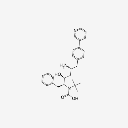 CC(C)(C)N(C(=O)O)[C@@H](Cc1ccccc1)[C@@H](O)C[C@@H](N)Cc1ccc(-c2cccnc2)cc1